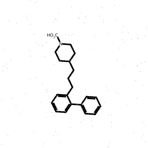 O=C(O)N1CCC(CCCc2ccccc2-c2ccccc2)CC1